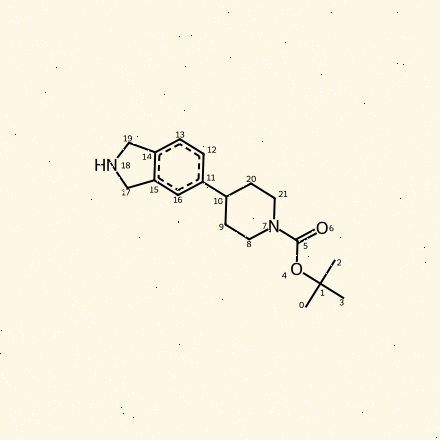 CC(C)(C)OC(=O)N1CCC(c2ccc3c(c2)CNC3)CC1